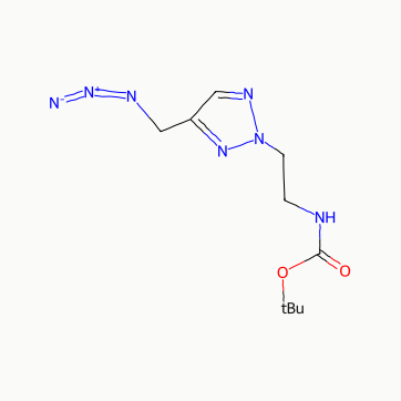 CC(C)(C)OC(=O)NCCn1ncc(CN=[N+]=[N-])n1